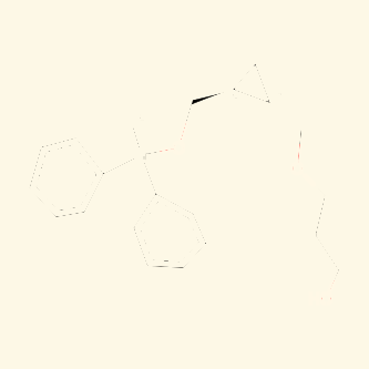 CC(C)(C)[Si](OC[C@H]1C[C@@H]1COCCCO)(c1ccccc1)c1ccccc1